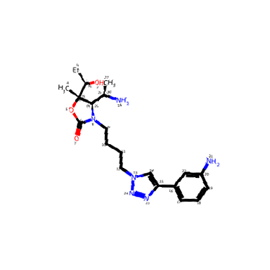 CC[C@@H](O)[C@@]1(C)OC(=O)N(CCCCn2cc(-c3cccc(N)c3)nn2)[C@@H]1[C@@H](C)N